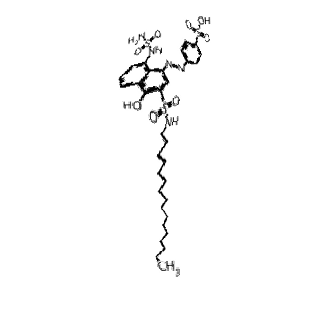 CCCCCCCCCCCCCCCCNS(=O)(=O)c1cc(N=Nc2ccc(S(=O)(=O)O)cc2)c2c(NS(N)(=O)=O)cccc2c1O